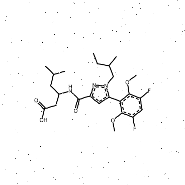 CCC(C)Cn1nc(C(=O)NC(CC(=O)O)CC(C)C)cc1-c1c(OC)c(F)cc(F)c1OC